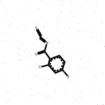 O=C(N=C=S)c1ccc(F)cc1Cl